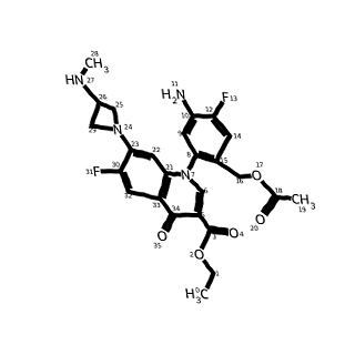 CCOC(=O)c1cn(-c2cc(N)c(F)cc2COC(C)=O)c2cc(N3CC(NC)C3)c(F)cc2c1=O